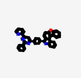 c1ccc(-c2nc(-c3ccc(-c4nc5ccccc5c5c4ccc4oc6ccccc6c45)cc3)cc(-c3ccccn3)n2)cc1